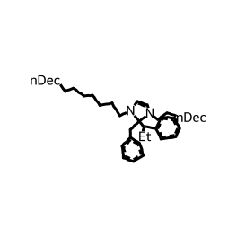 CCCCCCCCCCCCCCCCCN1C=CN(CCCCCCCCCCCC)C1(Cc1ccccc1)C(CC)c1ccccc1